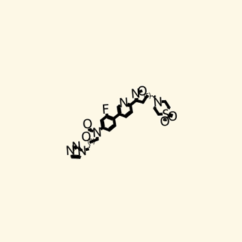 O=C1O[C@@H](Cn2ccnn2)CN1c1ccc(-c2ccc(C3=NO[C@H](CN4CCS(=O)(=O)CC4)C3)nc2)c(F)c1